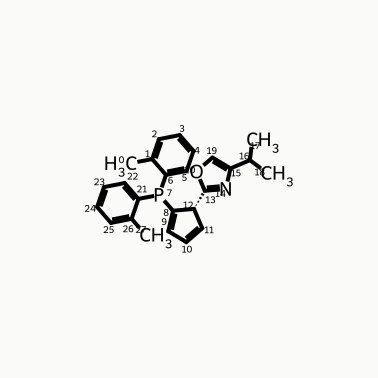 Cc1ccccc1P(C1=CC=C[C@H]1c1nc(C(C)C)co1)c1ccccc1C